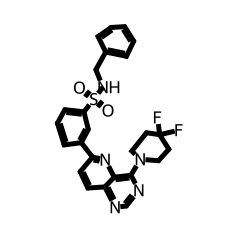 O=S(=O)(NCc1ccccc1)c1cccc(-c2ccc3ncnc(N4CCC(F)(F)CC4)c3n2)c1